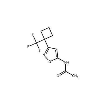 CC(=O)Nc1cc(C2(C(F)(F)F)CCC2)no1